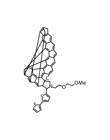 COCCOCCN1CC23Cc4cc5cc6cc7cc8cc9c%10c%11c%12c(c%13c2c4c2c5c4c6c7c5c8c%10c6c%12c%13c2c4c56)=C(CC=%11C9)C3C1c1ccc(-c2cccs2)s1